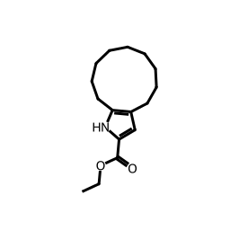 CCOC(=O)c1cc2c([nH]1)CCCCCCCCC2